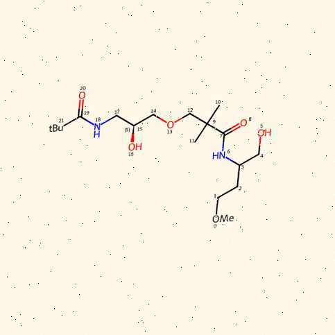 COCCC(CO)NC(=O)C(C)(C)COC[C@@H](O)CNC(=O)C(C)(C)C